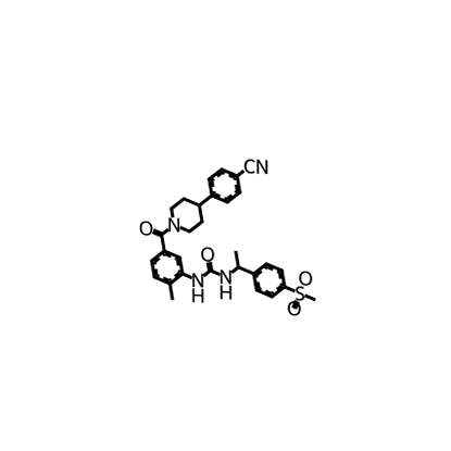 Cc1ccc(C(=O)N2CCC(c3ccc(C#N)cc3)CC2)cc1NC(=O)NC(C)c1ccc(S(C)(=O)=O)cc1